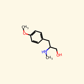 CNC(CO)Cc1ccc(OC)cc1